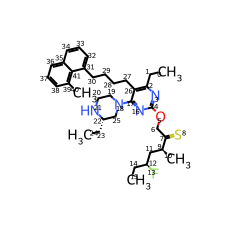 CCc1nc(OCC(=S)[C@@H](C)C[C@@H](F)CC)nc(N2CCN[C@@H](CC)C2)c1CCCCc1cccc2cccc(C)c12